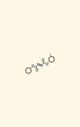 Cc1cccc(OC(=O)/N=N/C(=O)Oc2ccccc2)c1